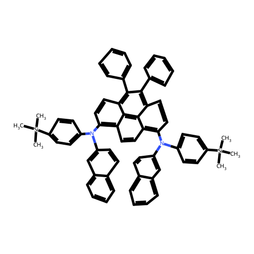 C[Si](C)(C)c1ccc(N(c2ccc3ccccc3c2)c2ccc3c(-c4ccccc4)c(-c4ccccc4)c4ccc(N(c5ccc([Si](C)(C)C)cc5)c5ccc6ccccc6c5)c5ccc2c3c54)cc1